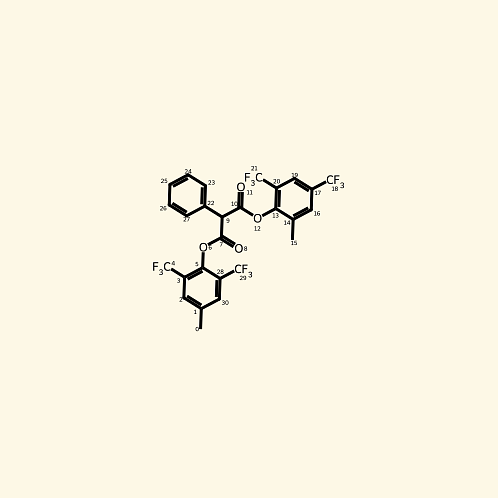 Cc1cc(C(F)(F)F)c(OC(=O)C(C(=O)Oc2c(C)cc(C(F)(F)F)cc2C(F)(F)F)c2ccccc2)c(C(F)(F)F)c1